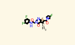 Cc1c(C(=O)N2CCC(F)C2)sc2ncn(CC(=O)Nc3cc(F)cc(F)c3)c(=O)c12